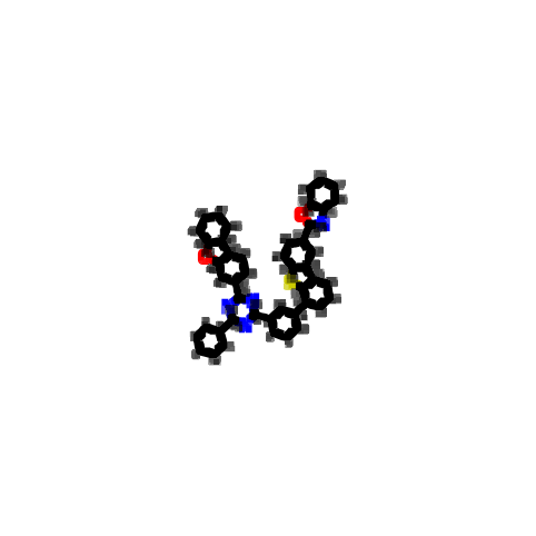 c1ccc(-c2nc(-c3cccc(-c4cccc5c4sc4ccc(-c6nc7ccccc7o6)cc45)c3)nc(-c3ccc4c(c3)oc3ccccc34)n2)cc1